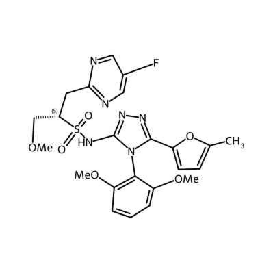 COC[C@H](Cc1ncc(F)cn1)S(=O)(=O)Nc1nnc(-c2ccc(C)o2)n1-c1c(OC)cccc1OC